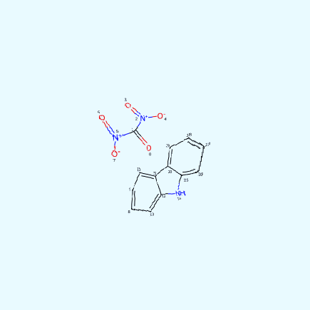 O=C([N+](=O)[O-])[N+](=O)[O-].c1ccc2c(c1)[nH]c1ccccc12